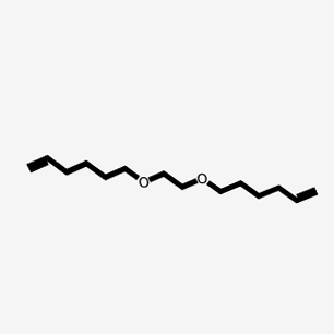 C=CCCCCOCCOCCCCC=C